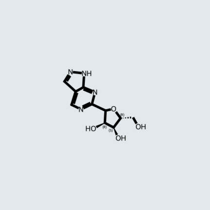 OC[C@H]1OC(c2ncc3cn[nH]c3n2)[C@H](O)[C@@H]1O